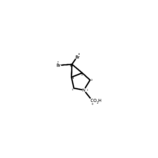 O=C(O)N1CC2C(C1)C2(Br)Br